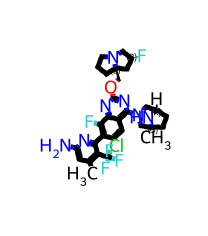 Cc1cc(N)nc(-c2c(Cl)cc3c(N4C[C@H]5CC[C@@](C)(C4)N5)nc(OC[C@@]45CCCN4C[C@H](F)C5)nc3c2F)c1C(F)(F)F